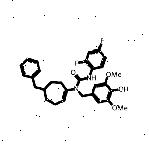 COc1cc(CN(C(=O)Nc2ccc(F)cc2F)C2=CCCC(Cc3ccccc3)CC2)cc(OC)c1O